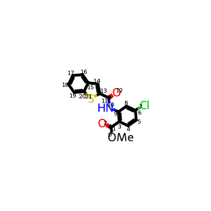 COC(=O)c1ccc(Cl)cc1NC(=O)c1cc2ccccc2s1